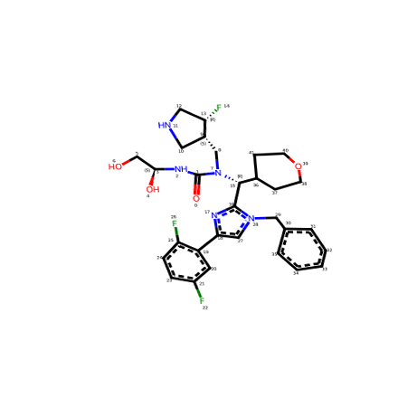 O=C(N[C@@H](O)CO)N(C[C@@H]1CNC[C@@H]1F)[C@@H](c1nc(-c2cc(F)ccc2F)cn1Cc1ccccc1)C1CCOCC1